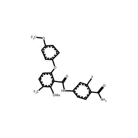 COc1c(C(F)(F)F)ccc(Oc2ccc(OC(F)(F)F)cc2)c1C(=O)Nc1ccc(C(N)=O)c(F)c1